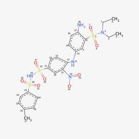 CCN(CC)S(=O)(=O)c1cc(Nc2ccc(S(=O)(=O)NS(=O)(=O)c3ccc(C)cc3)cc2[N+](=O)[O-])ccc1N